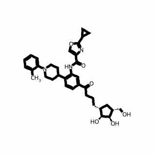 Cc1ccccc1N1CCC(c2ccc(C(=O)CCC[C@@H]3C[C@H](CO)[C@@H](O)[C@H]3O)cc2NC(=O)c2coc(C3CC3)n2)CC1